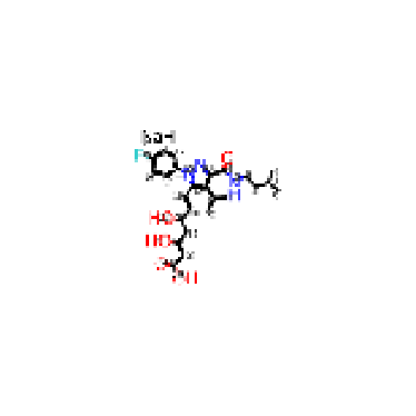 CC(C)CCNC(=O)c1nn(-c2ccc(F)cc2)c(C=C[C@H](O)C[C@@H](O)CC(=O)O)c1C(C)C.[NaH]